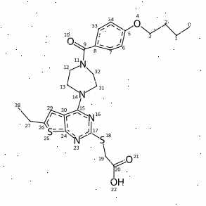 CCCCOc1ccc(C(=O)N2CCN(c3nc(SCC(=O)O)nc4sc(CC)cc34)CC2)cc1